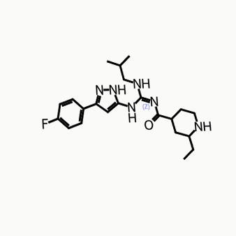 CCC1CC(C(=O)/N=C(/NCC(C)C)Nc2cc(-c3ccc(F)cc3)n[nH]2)CCN1